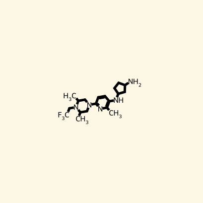 Cc1nc(N2CC(C)N(CC(F)(F)F)C(C)C2)ccc1NC1CCC(N)C1